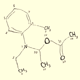 CCN(c1ccccc1C)C(C)OC(C)=O